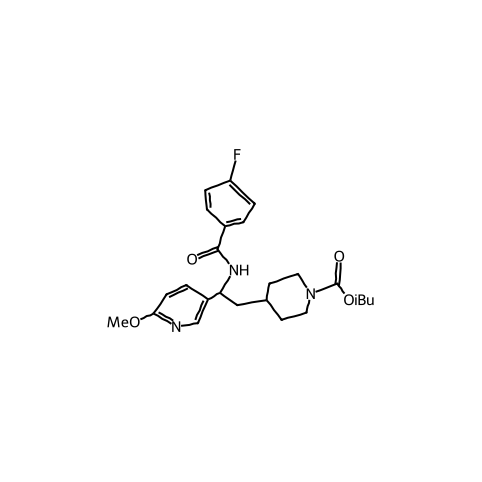 COc1ccc(C(CC2CCN(C(=O)OCC(C)C)CC2)NC(=O)c2ccc(F)cc2)cn1